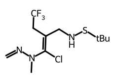 C=NN(C)/C(Cl)=C(/CNSC(C)(C)C)CC(F)(F)F